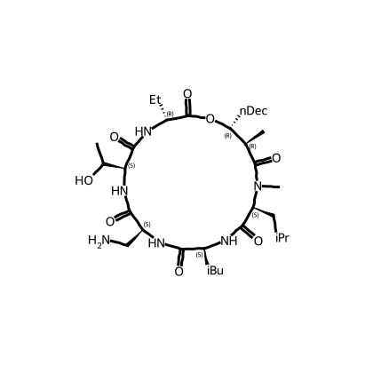 CCCCCCCCCC[C@H]1OC(=O)[C@@H](CC)NC(=O)[C@H](C(C)O)NC(=O)[C@H](CN)NC(=O)[C@H](C(C)CC)NC(=O)[C@H](CC(C)C)N(C)C(=O)[C@@H]1C